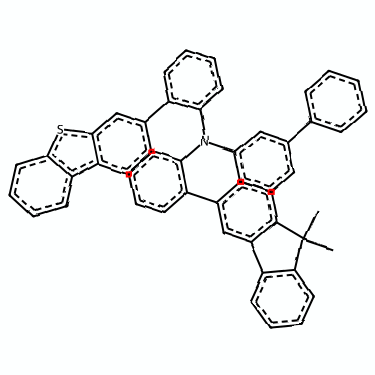 CC1(C)c2ccccc2-c2cc(-c3ccccc3N(c3cccc(-c4ccccc4)c3)c3ccccc3-c3ccc4c(c3)sc3ccccc34)ccc21